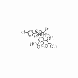 O=C(O)C1=C[C@H](NS(=O)(=O)c2ccc(Cl)cc2)[C@@H](NC(=O)C2CC2)[C@H]([C@H](O)[C@H](O)CO)O1